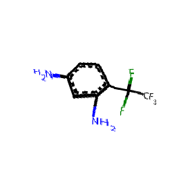 Nc1ccc(C(F)(F)C(F)(F)F)c(N)c1